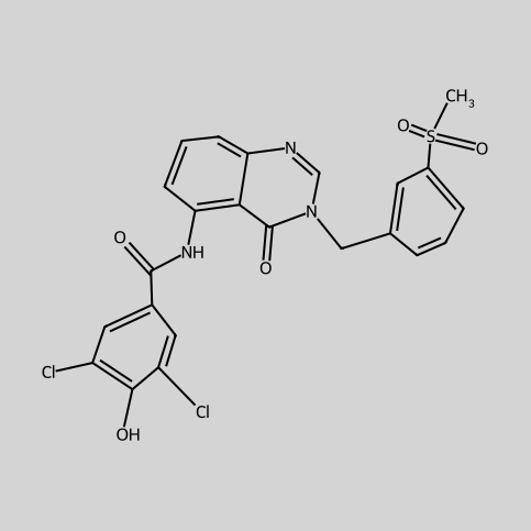 CS(=O)(=O)c1cccc(Cn2cnc3cccc(NC(=O)c4cc(Cl)c(O)c(Cl)c4)c3c2=O)c1